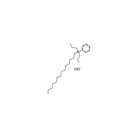 CCCCCCCCCCCCCC[N+](CCC)(CCC)c1ccccc1.[OH-]